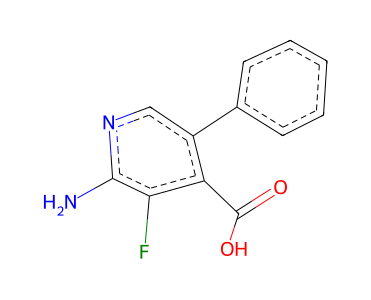 Nc1ncc(-c2ccccc2)c(C(=O)O)c1F